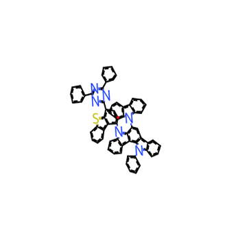 c1ccc(-c2nc(-c3ccccc3)nc(-c3ccc(-n4c5ccccc5c5c4c(-n4c6ccccc6c6ccccc64)cc4c6ccccc6n(-c6ccccc6)c45)c4c3sc3ccccc34)n2)cc1